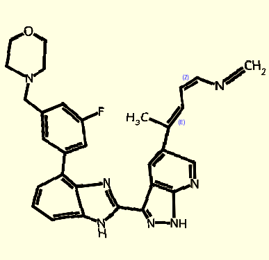 C=N/C=C\C=C(/C)c1cnc2[nH]nc(-c3nc4c(-c5cc(F)cc(CN6CCOCC6)c5)cccc4[nH]3)c2c1